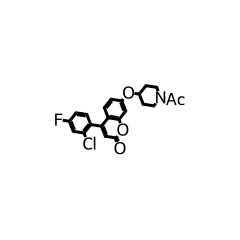 CC(=O)N1CCC(Oc2ccc3c(-c4ccc(F)cc4Cl)cc(=O)oc3c2)CC1